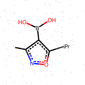 Cc1noc(C(C)C)c1B(O)O